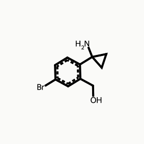 NC1(c2ccc(Br)cc2CO)CC1